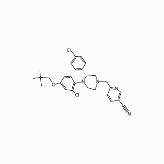 CC(C)(C)COc1ccc(N2CCN(Cc3ccc(C#N)cn3)C[C@H]2c2ccc(Cl)cc2)c(Cl)c1